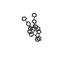 c1ccc(-c2ccc(N(c3ccccc3)c3ccccc3C3(c4ccccc4N(c4ccccc4)c4ccc(-c5ccccc5)cc4)c4ccccc4C4(c5ccccc5)c5ccccc5-c5cccc3c54)cc2)cc1